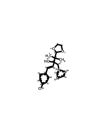 CC(C)(C1OCCO1)C(O)(C=Cc1ccc(Cl)cc1)Cn1cncn1